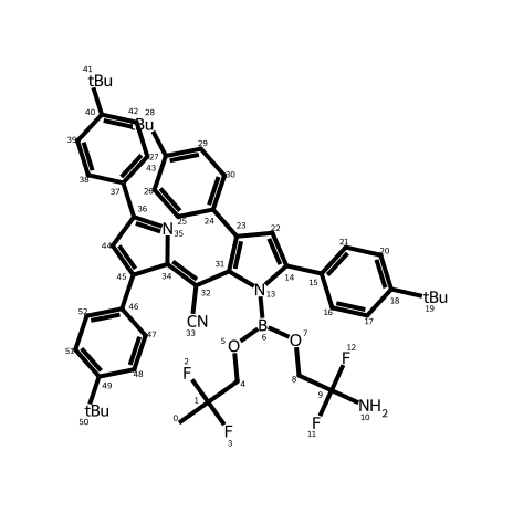 CC(F)(F)COB(OCC(N)(F)F)n1c(-c2ccc(C(C)(C)C)cc2)cc(-c2ccc(C(C)(C)C)cc2)c1/C(C#N)=C1\N=C(c2ccc(C(C)(C)C)cc2)C=C1c1ccc(C(C)(C)C)cc1